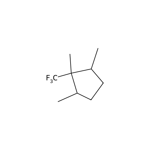 CC1CCC(C)C1(C)C(F)(F)F